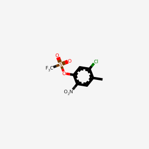 Cc1cc([N+](=O)[O-])c(OS(=O)(=O)C(F)(F)F)cc1Cl